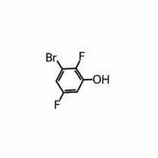 Oc1cc(F)cc(Br)c1F